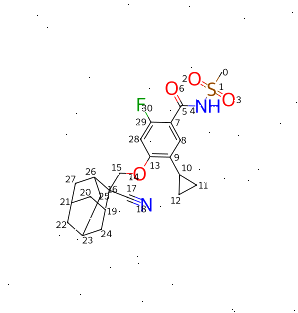 CS(=O)(=O)NC(=O)c1cc(C2CC2)c(OCC2(C#N)C3CC4CC(C3)CC2C4)cc1F